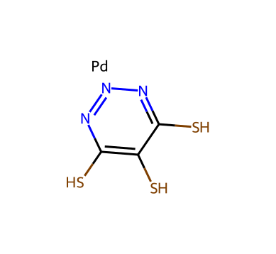 Sc1nnnc(S)c1S.[Pd]